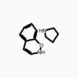 C1=Cc2ccccc2ON1.C1CCNC1